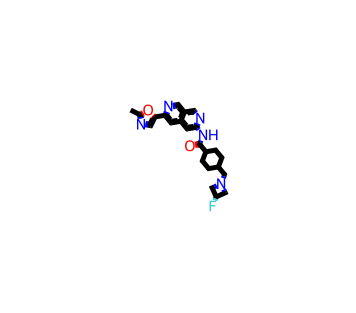 Cc1ncc(-c2cc3cc(NC(=O)C4CCC(CN5CC(F)C5)CC4)ncc3cn2)o1